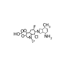 CC1C=CC(N)C2CN(c3c(F)cc4c(=O)c(OC(=O)O)cn(C5CC5)c4c3Cl)CC12